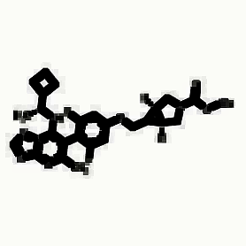 Cc1nc2ncnn2c(N[C@H](C)C2CCC2)c1-c1c(F)cc(OCC2[C@H]3CN(C(=O)OC(C)(C)C)C[C@@H]23)cc1F